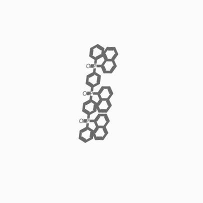 O=P(c1ccccc1)(c1ccc(P(=O)(c2ccc(P(=O)(c3ccccc3)c3cccc4ccccc34)cc2)c2cccc3ccccc23)cc1)c1cccc2ccccc12